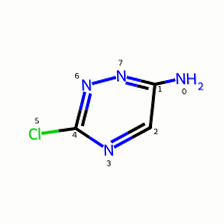 Nc1cnc(Cl)nn1